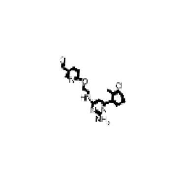 Cc1c(Cl)cccc1-c1cc(NCCOc2ccc(C=O)cn2)nc(N)n1